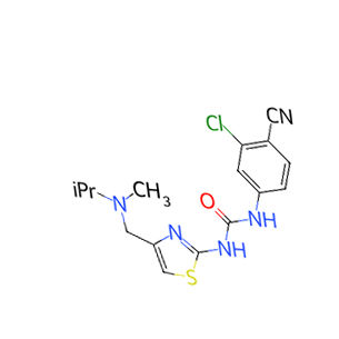 CC(C)N(C)Cc1csc(NC(=O)Nc2ccc(C#N)c(Cl)c2)n1